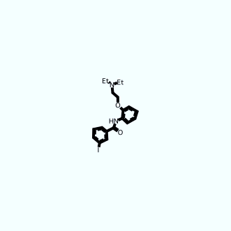 CCN(CC)CCOc1ccccc1NC(=O)c1cccc(I)c1